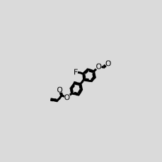 C=CC(=O)Oc1ccc(-c2ccc(OC=O)cc2F)cc1